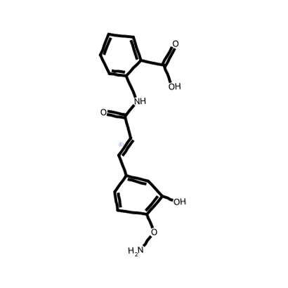 NOc1ccc(/C=C/C(=O)Nc2ccccc2C(=O)O)cc1O